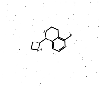 Fc1cccc2c1CCO[C@@H]2[C@H]1CCN1